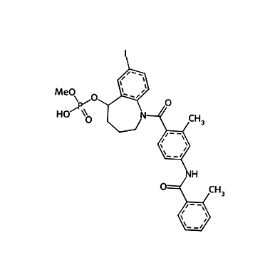 COP(=O)(O)OC1CCCN(C(=O)c2ccc(NC(=O)c3ccccc3C)cc2C)c2ccc(I)cc21